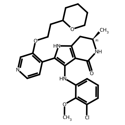 COc1c(Cl)cccc1Nc1c(-c2ccncc2OCCC2CCCCO2)[nH]c2c1C(=O)N[C@H](C)C2